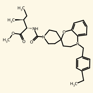 CCc1ccc(CN2CCC3(CCN(C(=O)N[C@H](C(=O)OC)[C@@H](C)CC)CC3)Oc3ccccc32)cc1